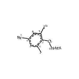 CCCCCCOc1c(C)cc(Br)cc1I